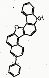 c1ccc(-c2ccc3c(ccc4oc5c(ccc6[nH]c7ccccc7c65)c43)c2)cc1